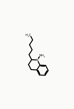 CCCCCC1CCc2ccccc2N1N